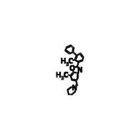 Cc1c(-c2ccccc2)cccc1-c1nc2cc(CN3CCCCC3)cc(C)c2o1